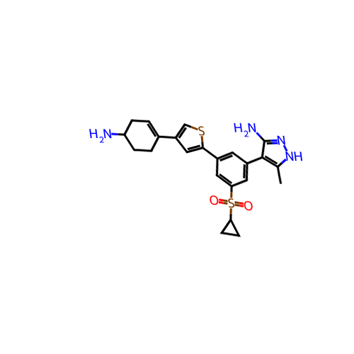 Cc1[nH]nc(N)c1-c1cc(-c2cc(C3=CCC(N)CC3)cs2)cc(S(=O)(=O)C2CC2)c1